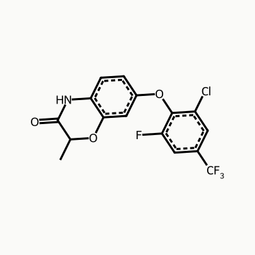 CC1Oc2cc(Oc3c(F)cc(C(F)(F)F)cc3Cl)ccc2NC1=O